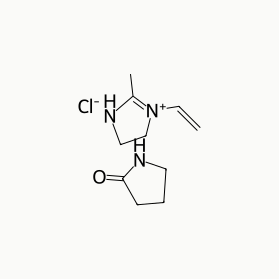 C=C[N+]1=C(C)NCC1.O=C1CCCN1.[Cl-]